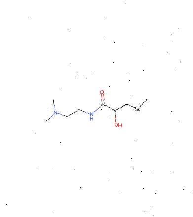 C[Se]CC(O)C(=O)NCCN(C)C